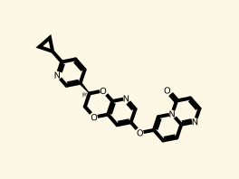 O=c1ccnc2ccc(Oc3cnc4c(c3)OC[C@@H](c3ccc(C5CC5)nc3)O4)cn12